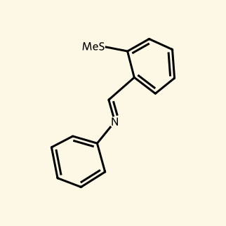 CSc1ccccc1/C=N/c1ccccc1